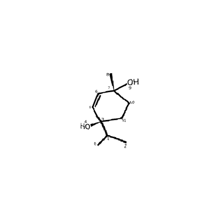 CC(C)[C@]1(O)C=C[C@](C)(O)CC1